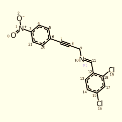 O=[N+]([O-])c1ccc(C#CC/N=C/c2ccc(Cl)cc2Cl)cc1